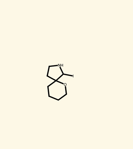 IC1NCCC12CCCCO2